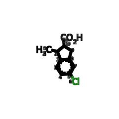 CC1c2ccc(Cl)cc2CC1C(=O)O